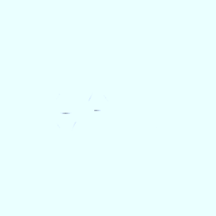 CCCCCOc1ccc(C(CC(=O)O)c2ccccc2)cc1